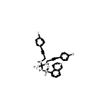 CC(NCC#Cc1ccc(Cl)cc1)(NCC#Cc1ccc(Cl)cc1)NS(=O)(=O)c1cccc2cnccc12